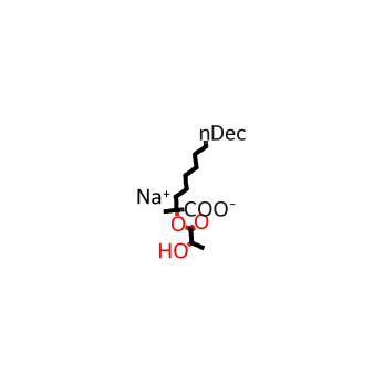 CCCCCCCCCCCCCCCCC(C)(OC(=O)C(C)O)C(=O)[O-].[Na+]